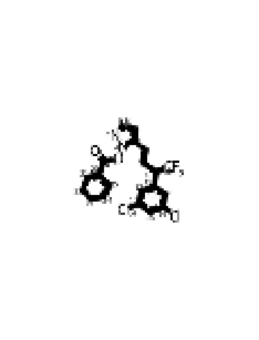 O=C(On1nncc1/C=C/C(c1cc(Cl)cc(Cl)c1)C(F)(F)F)c1ccccc1